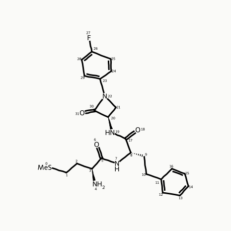 CSCC[C@H](N)C(=O)N[C@@H](CCc1ccccc1)C(=O)N[C@@H]1CN(c2ccc(F)cc2)C1=O